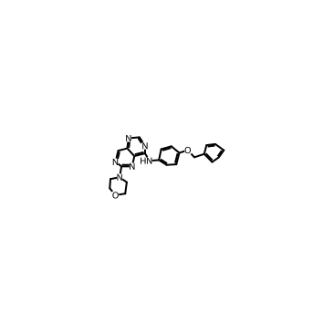 c1ccc(COc2ccc(Nc3ncnc4cnc(N5CCOCC5)nc34)cc2)cc1